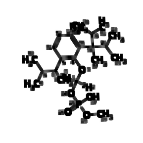 [2H]C([2H])(Oc1c(C(C)C(C)C)ccc(C)c1C(C)(C(C)C)C(C)C)OP(=O)(O)OC